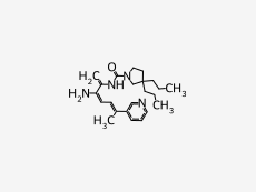 C=C(NC(=O)N1CCC(CCC)(CCC)C1)/C(N)=C\C=C(/C)c1cccnc1